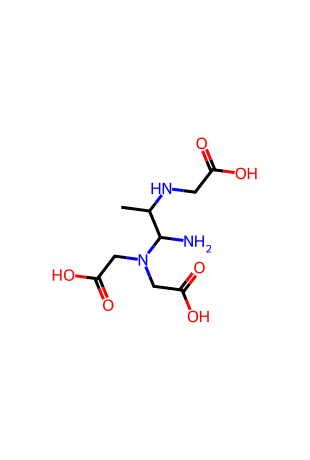 CC(NCC(=O)O)C(N)N(CC(=O)O)CC(=O)O